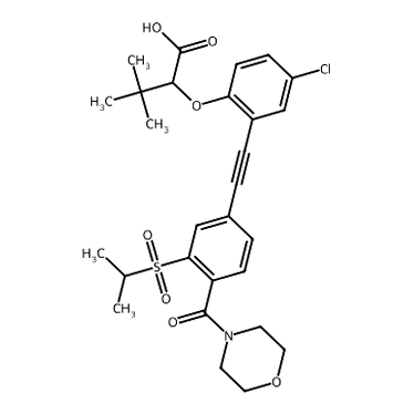 CC(C)S(=O)(=O)c1cc(C#Cc2cc(Cl)ccc2OC(C(=O)O)C(C)(C)C)ccc1C(=O)N1CCOCC1